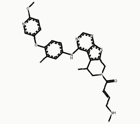 CNC/C=C/C(=O)N1Cc2sc3ncnc(Nc4ccc(Oc5ccc(OC)nc5)c(C)c4)c3c2C(C)C1